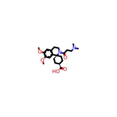 COc1cc2c(cc1OC)[C@]1(CC[C@H](C(=O)O)CC1)N(C(=O)CCN(C)C)CC2